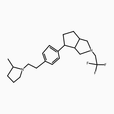 CC1CCCN1CCc1ccc(C2CCC3CN(CC(F)(F)F)CC32)cc1